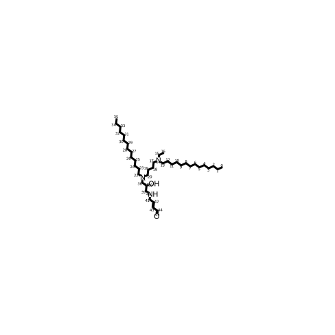 CCCCCCCCCCCCCCN(CC)CCCCN(CCCCCCCCCCCCCC)CC(O)CNC/C=C/C=O